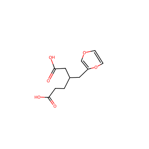 O=C(O)CCC(CC(=O)O)CC1=COC=CO1